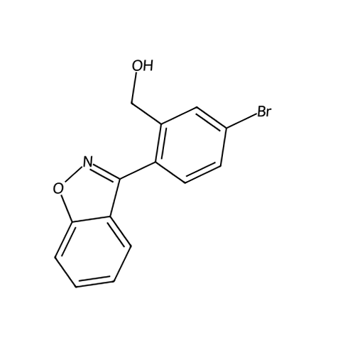 OCc1cc(Br)ccc1-c1noc2ccccc12